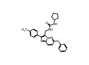 Cc1ccc(-c2nc3ccc(Sc4ccccc4)nn3c2CNC(=O)NC2CCCC2)cc1